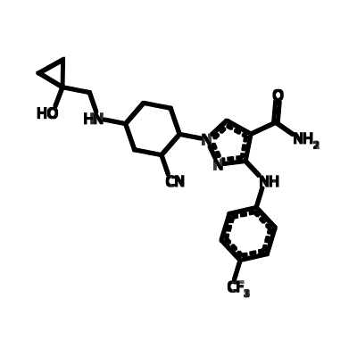 N#CC1CC(NCC2(O)CC2)CCC1n1cc(C(N)=O)c(Nc2ccc(C(F)(F)F)cc2)n1